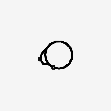 C1CCCCCC2CCC(COC2)OCCCC1